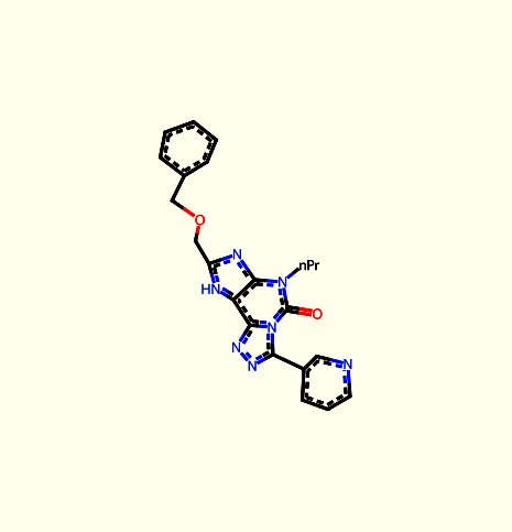 CCCn1c(=O)n2c(-c3cccnc3)nnc2c2[nH]c(COCc3ccccc3)nc21